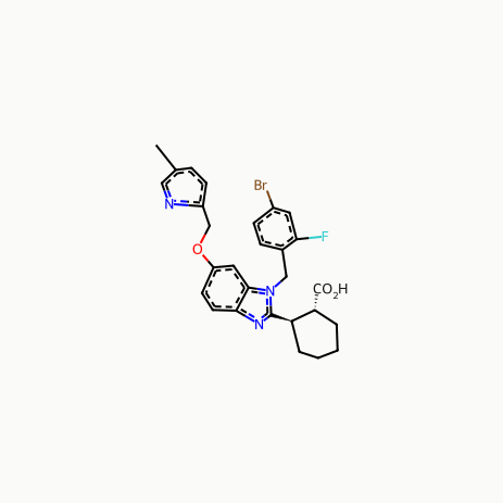 Cc1ccc(COc2ccc3nc([C@@H]4CCCC[C@H]4C(=O)O)n(Cc4ccc(Br)cc4F)c3c2)nc1